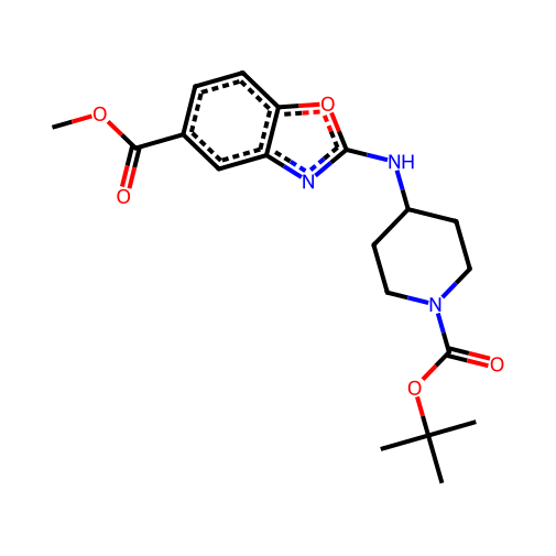 COC(=O)c1ccc2oc(NC3CCN(C(=O)OC(C)(C)C)CC3)nc2c1